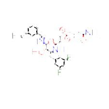 NC(=O)CCCS(=O)(=O)C[CH]C(=O)NC(Cc1cc(F)cc(F)c1)C(O)CNCc1cccc(C(F)(F)F)c1